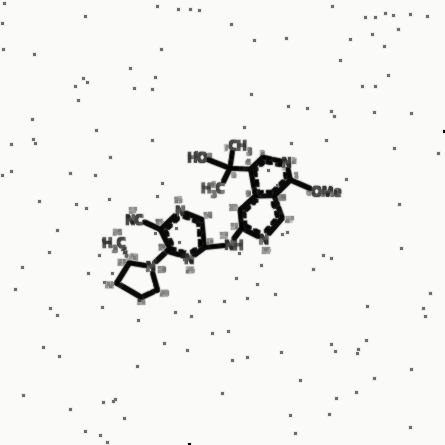 COc1ncc(C(C)(C)O)c2cc(Nc3cnc(C#N)c(N4CCC[C@@H]4C)n3)ncc12